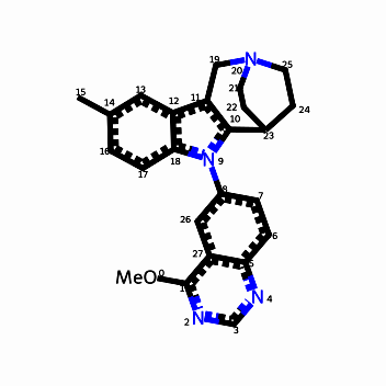 COc1ncnc2ccc(-n3c4c(c5cc(C)ccc53)CN3CCC4CC3)cc12